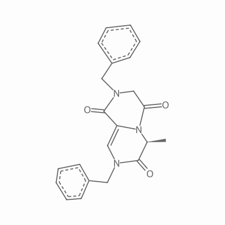 C[C@H]1C(=O)N(Cc2ccccc2)C=C2C(=O)N(Cc3ccccc3)CC(=O)N21